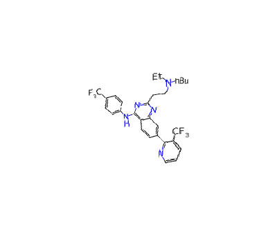 CCCCN(CC)CCc1nc(Nc2ccc(C(F)(F)F)cc2)c2ccc(-c3ncccc3C(F)(F)F)cc2n1